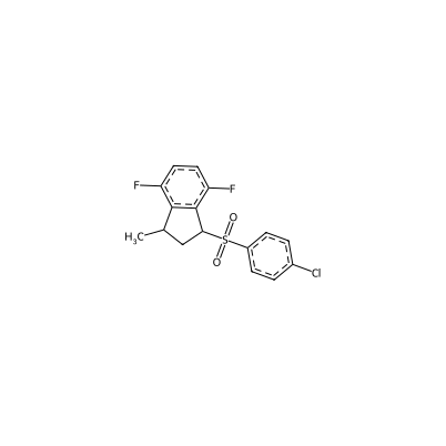 CC1CC(S(=O)(=O)c2ccc(Cl)cc2)c2c(F)ccc(F)c21